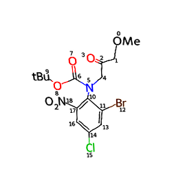 COCC(=O)CN(C(=O)OC(C)(C)C)c1c(Br)cc(Cl)cc1[N+](=O)[O-]